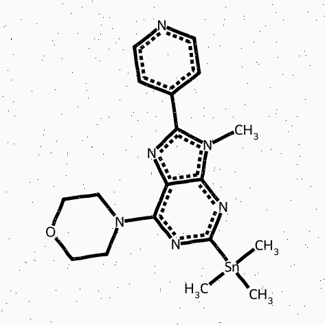 Cn1c(-c2ccncc2)nc2c(N3CCOCC3)n[c]([Sn]([CH3])([CH3])[CH3])nc21